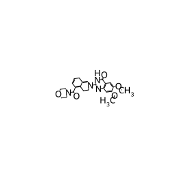 COc1cc2nc(N3C=C4CC=CC(C(=O)N5CCOCC5)=C4CC3)[nH]c(=O)c2cc1OC